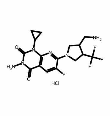 Cl.NCC1CN(c2nc3c(cc2F)c(=O)n(N)c(=O)n3C2CC2)CC1C(F)(F)F